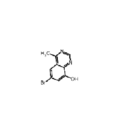 Cc1ncnc2c(O)cc(Br)cc12